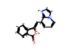 O=C1O/C(=C\c2cccn3ccnc23)c2ccccc21